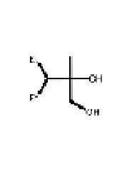 CCC(CC)C(C)(O)CO